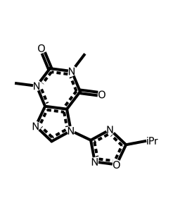 CC(C)c1nc(-n2cnc3c2c(=O)n(C)c(=O)n3C)no1